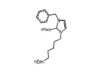 CCCCCCCCCCCCCCCN1C=CN(Cc2ccccc2)C1CCCCC